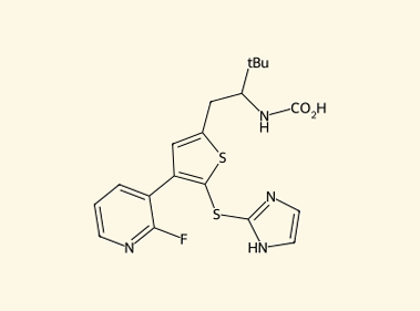 CC(C)(C)C(Cc1cc(-c2cccnc2F)c(Sc2ncc[nH]2)s1)NC(=O)O